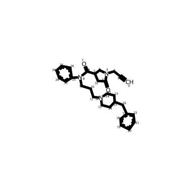 C#CCN1CC(C(=O)N(CCCN2CCC(Cc3ccccc3)CC2)c2ccccc2)CC1=O